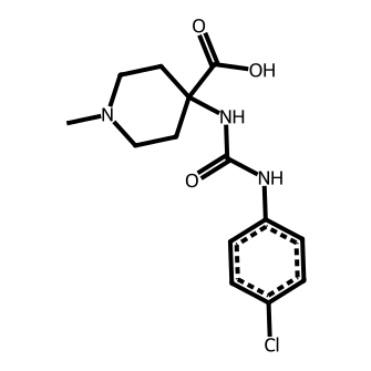 CN1CCC(NC(=O)Nc2ccc(Cl)cc2)(C(=O)O)CC1